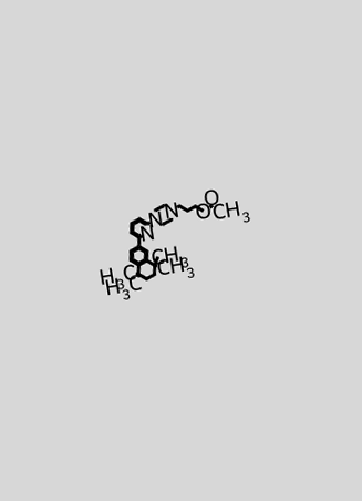 CC(=O)OCCCN1CCN(c2cccc(-c3ccc4c(c3)C(C)(C)CCC4(C)C)n2)CC1